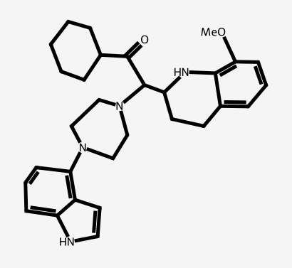 COc1cccc2c1NC(C(C(=O)C1CCCCC1)N1CCN(c3cccc4[nH]ccc34)CC1)CC2